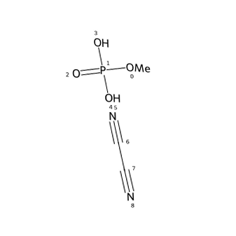 COP(=O)(O)O.N#CC#N